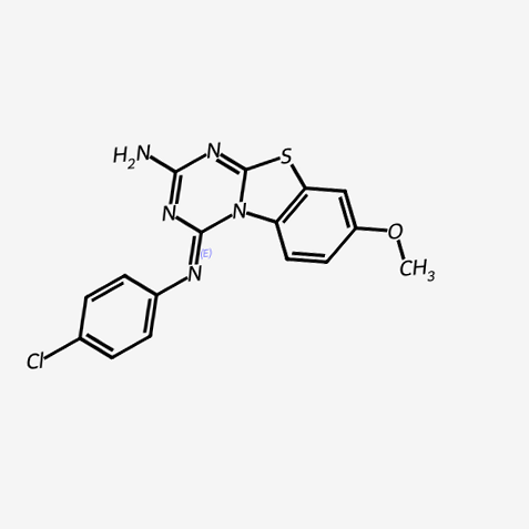 COc1ccc2c(c1)sc1nc(N)n/c(=N\c3ccc(Cl)cc3)n12